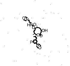 C/C(=C\c1cc(F)cc(N2CCOCC2)c1)[C@H]1OC(=O)C[C@H](O)CC[C@H](C)[C@@H](OC(=O)NCCCN2CCOCC2)/C=C/[C@@H]1C